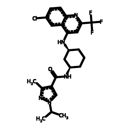 Cc1nn(C(C)C)cc1C(=O)N[C@@H]1CCC[C@H](Nc2cc(C(F)(F)F)nc3ccc(Cl)cc23)C1